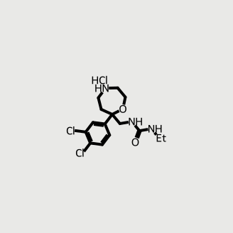 CCNC(=O)NCC1(c2ccc(Cl)c(Cl)c2)CCNCCO1.Cl